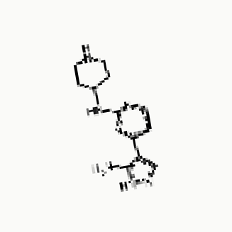 Nc1[nH]ncc1-c1ccnc(NC2CCNCC2)n1